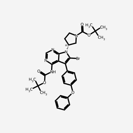 CC(C)(C)OC(=O)Nc1ncnc2c1c(-c1ccc(Oc3ccccc3)cc1)c(Br)n2[C@@H]1CCN(C(=O)OC(C)(C)C)C1